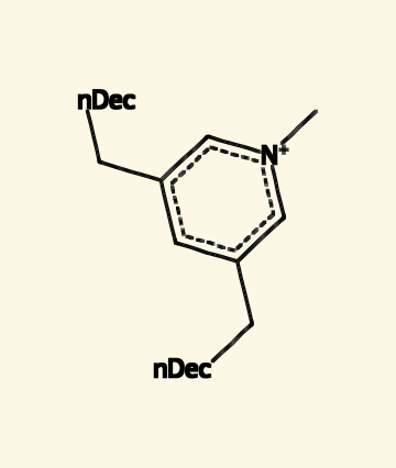 CCCCCCCCCCCc1cc(CCCCCCCCCCC)c[n+](C)c1